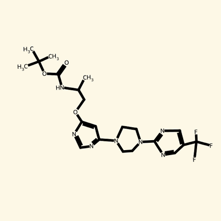 CC(COc1cc(N2CCN(c3ncc(C(F)(F)F)cn3)CC2)ncn1)NC(=O)OC(C)(C)C